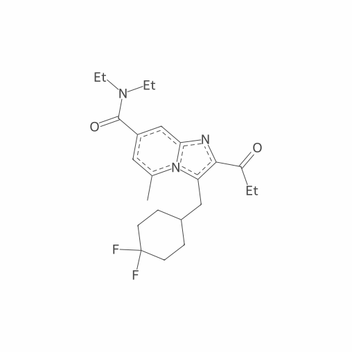 CCC(=O)c1nc2cc(C(=O)N(CC)CC)cc(C)n2c1CC1CCC(F)(F)CC1